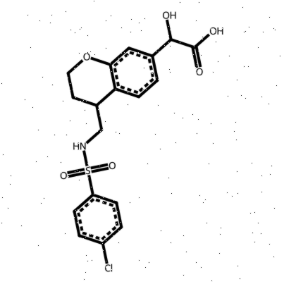 O=C(O)C(O)c1ccc2c(c1)OCCC2CNS(=O)(=O)c1ccc(Cl)cc1